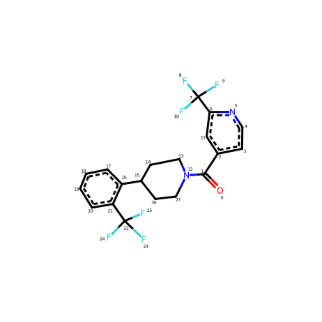 O=C(c1ccnc(C(F)(F)F)c1)N1CCC(c2ccccc2C(F)(F)F)CC1